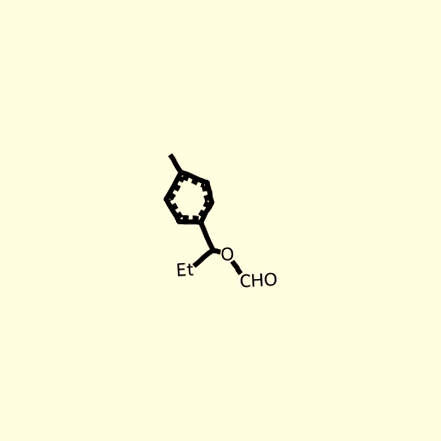 CCC(OC=O)c1ccc(C)cc1